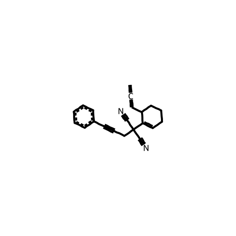 C=C=CC1CCCC=C1C(C#N)(C#N)CC#Cc1ccccc1